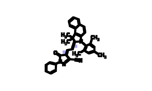 Cc1cc(C)c(N2/C(=C/C=C3/C(=O)N(c4ccccc4)N=C3C#N)C(C)(C)c3c2ccc2ccccc32)c(C)c1